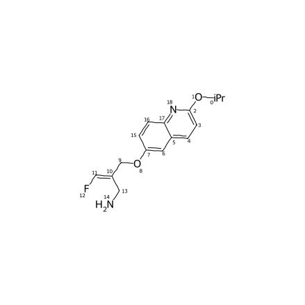 CC(C)Oc1ccc2cc(OC/C(=C/F)CN)ccc2n1